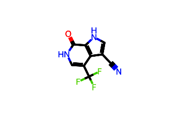 N#Cc1c[nH]c2c(=O)[nH]cc(C(F)(F)F)c12